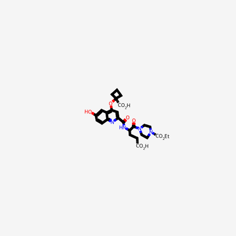 CCOC(=O)N1CCN(C(=O)C(CCC(=O)O)NC(=O)c2cc(OC3(C(=O)O)CCC3)c3cc(O)ccc3n2)CC1